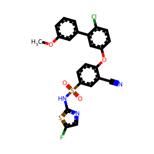 COc1cccc(-c2cc(Oc3ccc(S(=O)(=O)Nc4ncc(F)s4)cc3C#N)ccc2Cl)c1